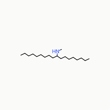 CCCCCCCCCC(CCCCCCCC)NC